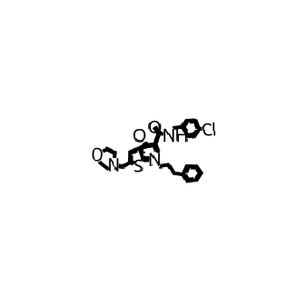 O=C(NCc1ccc(Cl)cc1)c1cn(CCCc2ccccc2)c2sc(CN3CCOCC3)cc2c1=O